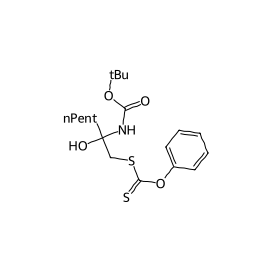 CCCCCC(O)(CSC(=S)Oc1ccccc1)NC(=O)OC(C)(C)C